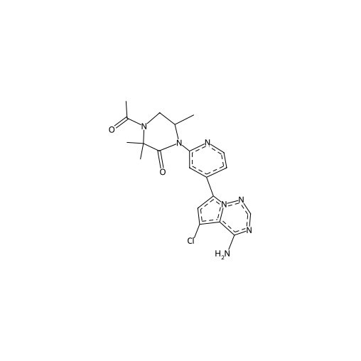 CC(=O)N1CC(C)N(c2cc(-c3cc(Cl)c4c(N)ncnn34)ccn2)C(=O)C1(C)C